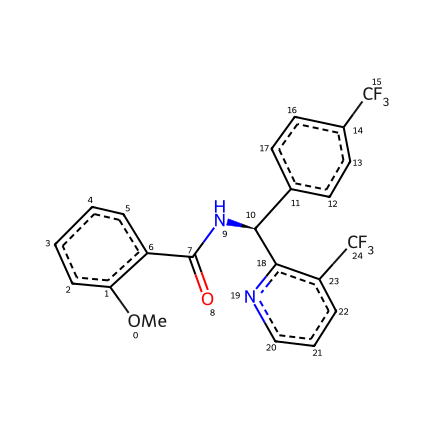 COc1ccccc1C(=O)N[C@@H](c1ccc(C(F)(F)F)cc1)c1ncccc1C(F)(F)F